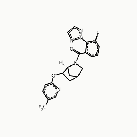 O=C(c1cccc(F)c1-n1nccn1)N1CC2CC(Oc3ccc(C(F)(F)F)cn3)[C@@H]1C2